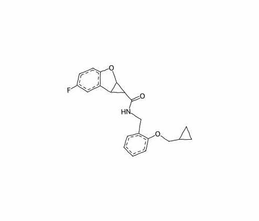 O=C(NCc1ccccc1OCC1CC1)C1C2Oc3ccc(F)cc3C21